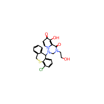 O=C1c2c(O)c(=O)ccn2N(C2c3ccccc3CSc3c(Cl)cccc32)CN1CCO